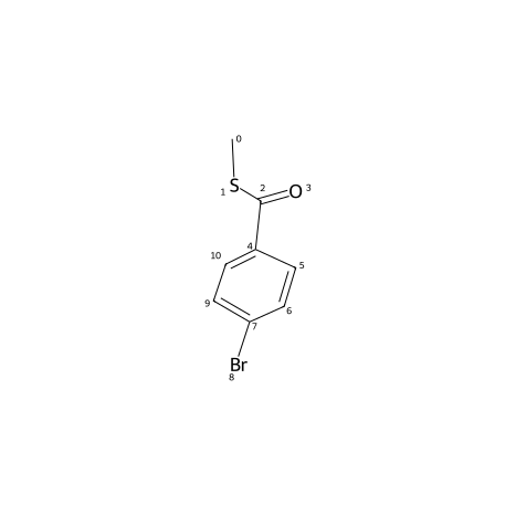 CSC(=O)c1ccc(Br)cc1